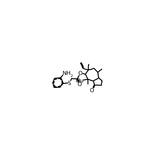 C=CC1(C)CC(C)C2CCC(=O)C2C(C)(C(C)CC)C1OC(=O)CSc1ccccc1N